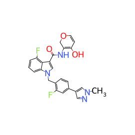 Cn1cc(-c2ccc(Cn3cc(C(=O)NC4=C(O)C=COC4)c4c(F)cccc43)c(F)c2)cn1